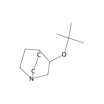 CC(C)(C)OC1CN2CCC1CC2